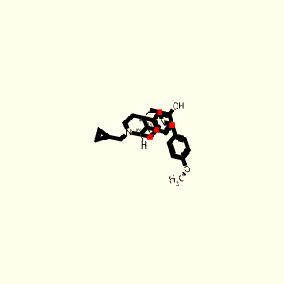 COc1ccc(CN2CC[C@]34CCN(CC5CC5)[C@H](Cc5ccc(O)cc53)[C@@H]4C2)cc1